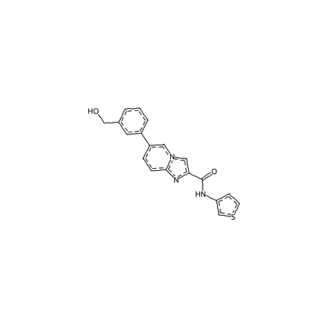 O=C(Nc1ccsc1)c1cn2cc(-c3cccc(CO)c3)ccc2n1